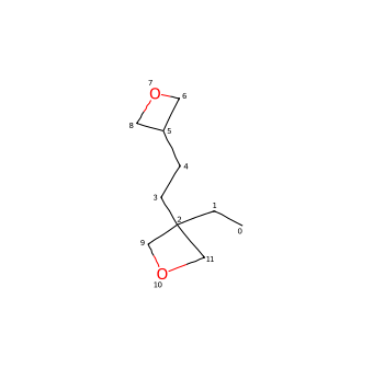 CCC1(CCC2COC2)COC1